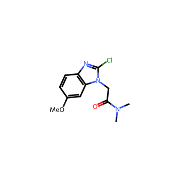 COc1ccc2nc(Cl)n(CC(=O)N(C)C)c2c1